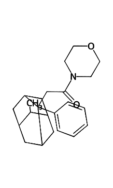 CC1C2CC3CC1CC(C2)C3(CC(=O)N1CCOCC1)c1ccccc1